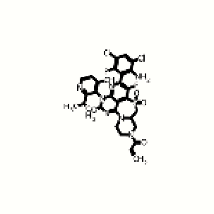 C=CC(=O)N1CCN2c3nc(=O)n(-c4c(C)ccnc4C(C)C)c4nc(-c5c(N)c(Cl)cc(Cl)c5F)c(F)c(c34)S(=O)(=O)CC2C1